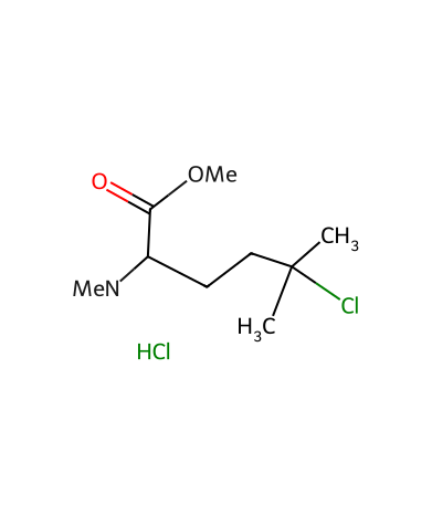 CNC(CCC(C)(C)Cl)C(=O)OC.Cl